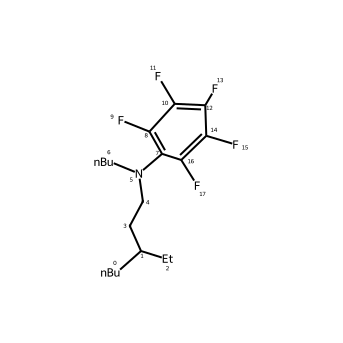 CCCCC(CC)CCN(CCCC)c1c(F)c(F)c(F)c(F)c1F